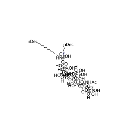 CCCCCCCCCCCCC/C=C/[C@@H](O)[C@H](CO[C@@H]1OC(CO)[C@@H](O[C@@H]2OC(CO)[C@H](O)[C@H](O[C@@H]3OC(CO)[C@@H](O[C@@H]4OC(CO)[C@H](O)[C@H](O[C@@H]5OC(CO)[C@@H](O[C@H]6OC(C)[C@@H](O)C(O)[C@@H]6O)[C@H](O)C5NC(C)=O)C4O)[C@H](O[C@H]4OC(C)[C@@H](O)C(O)[C@@H]4O)C3NC(C)=O)C2O)[C@H](O)C1O)NC(=O)CCCCCCCCCCCCCCCCCCCCCCC